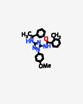 COc1ccc(-n2nc(N[C@H](C)c3ccccc3)nc2NC(=O)c2ccccc2C)cc1